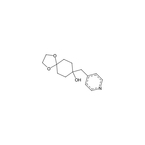 OC1(Cc2ccncc2)CCC2(CC1)OCCO2